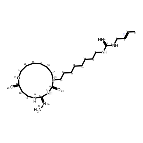 C/C=C/CNC(=N)NCCCCCCCCN1CCCCCCOC(=O)CCNC(=NN)NC1=O